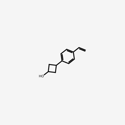 C=Cc1ccc(C2CC(O)C2)cc1